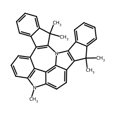 Cn1c2cccc3c4c(n5c6c(c7ccc1c(c32)c75)C(C)(C)c1ccccc1-6)C(C)(C)c1ccccc1-4